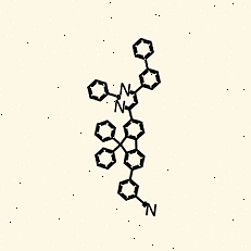 N#Cc1cccc(-c2ccc3c(c2)C(c2ccccc2)(c2ccccc2)c2cc(-c4cc(-c5cccc(-c6ccccc6)c5)nc(-c5ccccc5)n4)ccc2-3)c1